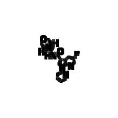 CN1[C@@H]2COC[C@H]1CC(NC(=O)c1cn(-c3ccccn3)c3ncc(F)cc13)C2